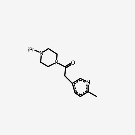 Cc1ccc(CC(=O)N2CCN(C(C)C)CC2)cn1